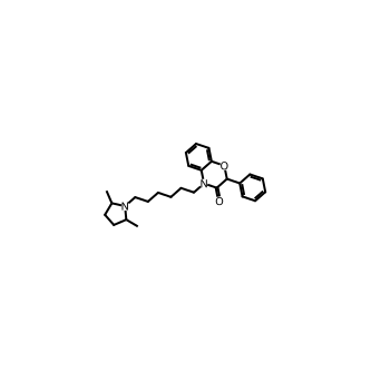 CC1CCC(C)N1CCCCCCN1C(=O)C(c2ccccc2)Oc2ccccc21